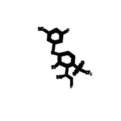 CCc1c(Oc2cc(F)cc(C#N)c2)ccc(S(=O)(=O)C(F)(F)F)c1[C@H](O)CF